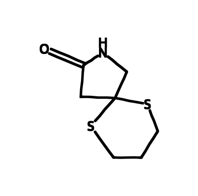 O=C1CC2(CN1)SCCCS2